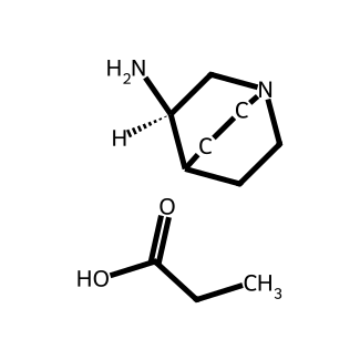 CCC(=O)O.N[C@H]1CN2CCC1CC2